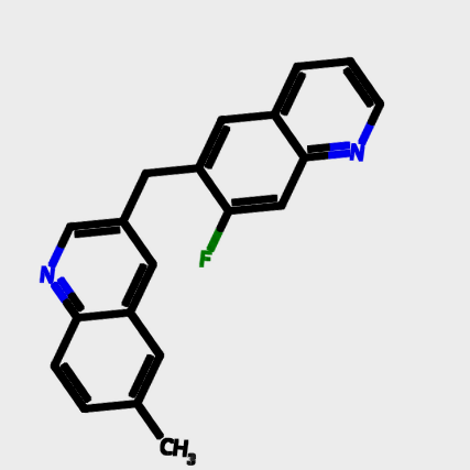 Cc1ccc2ncc(Cc3cc4cccnc4cc3F)cc2c1